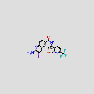 CN(C(=O)c1ccc2nc(N)c(I)cc2c1)[C@@H]1COCc2nc(C(F)(F)F)ccc21